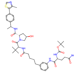 Cc1ncsc1-c1ccc(C(C)NC(=O)[C@@H]2C[C@@H](O)CN2C(=O)C(NC(=O)CCCCc2cccc(NC(=O)C(CCC(N)=O)NC(=O)OC(C)(C)C)c2)C(C)(C)C)cc1